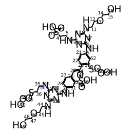 O=S(=O)(O)CCNc1nc(NCCOCCO)nc(Nc2ccc(C=Cc3ccc(Nc4nc(/N=C\CSOOO)nc(NCCOCCO)n4)cc3S(=O)(=O)O)c(SOOO)c2)n1